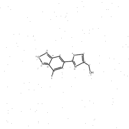 OCc1csc(-c2cc(F)c3nonc3c2)n1